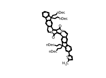 CCCCCCCCCCCCC1(CCCCCCCCCCCC)c2ccccc2-c2cc3c(cc21)C1=C2C(=O)N4C=Cc5cc6c(cc5C4=C2C(=O)N1C=C3)C(CCCCCCCCCCCC)(CCCCCCCCCCCC)c1cc(-c2ccc(C)s2)ccc1-6